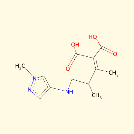 CC(=C(C(=O)O)C(=O)O)C(C)CNc1cnn(C)c1